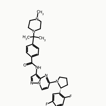 CN1CCN(C(C)(C)c2ccc(C(=O)Nc3cnn4ccc(N5CCC[C@@H]5c5cc(F)ccc5F)nc34)cc2)CC1